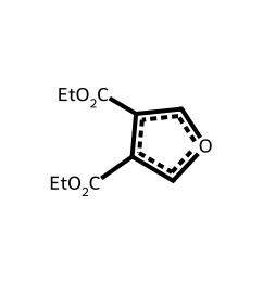 CCOC(=O)c1cocc1C(=O)OCC